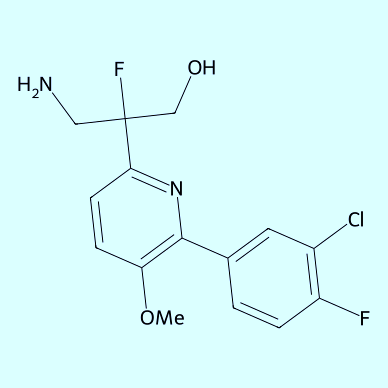 COc1ccc(C(F)(CN)CO)nc1-c1ccc(F)c(Cl)c1